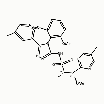 COc1cccc(OC)c1-n1c(NS(=O)(=O)[C@@H](C)[C@@H](OC)c2ncc(C)cn2)nnc1-c1cncc(C)c1